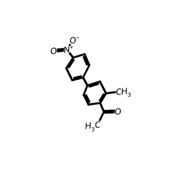 CC(=O)c1ccc(-c2ccc([N+](=O)[O-])cc2)cc1C